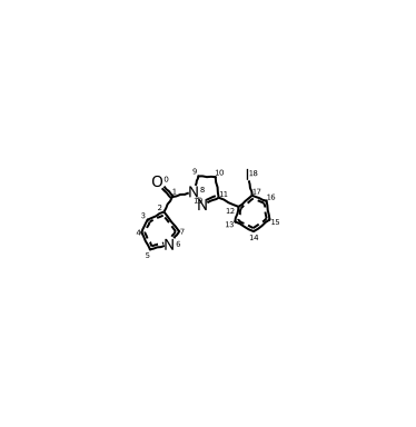 O=C(c1cccnc1)N1CCC(c2ccccc2I)=N1